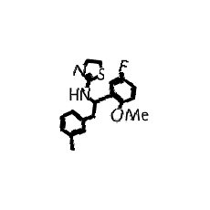 COc1ccc(F)cc1C(Cc1cccc(C)c1)NC1=NCCS1